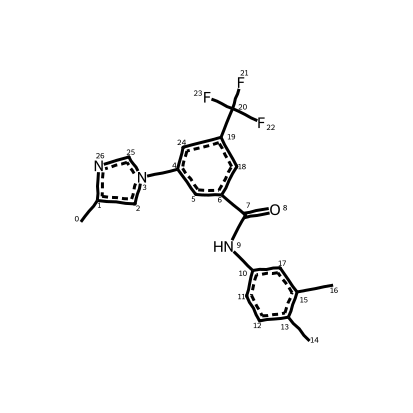 Cc1cn(-c2cc(C(=O)Nc3ccc(C)c(C)c3)cc(C(F)(F)F)c2)cn1